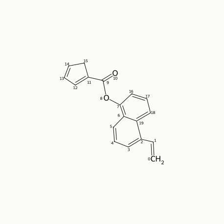 C=Cc1cccc2c(OC(=O)C3=CC=CC3)cccc12